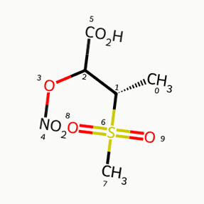 C[C@@H](C(O[N+](=O)[O-])C(=O)O)S(C)(=O)=O